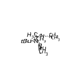 CN(C)CCCCN1CC(C(C)(C)CC2C(C(C)(C)C)CN2CC2CN(C)C2)C1